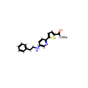 COC(=O)c1ccc(-c2ccc(NCCc3ccccc3)cn2)s1